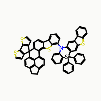 c1ccc([Si]2(c3ccccc3)c3ccccc3N(c3cccc4c3sc3c5c(ccc34)C3(c4ccsc4-c4sccc43)c3ccc4c6c(ccc-5c36)CC4)c3cc4c(cc32)sc2ccccc24)cc1